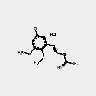 COc1cc(Cl)cc(/C=N/NC(=N)N)c1OC.Cl